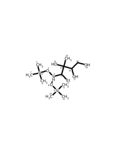 CCC([SiH](O[Si](C)(C)C)O[Si](C)(C)C)C(C)(O)C(O)CO